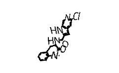 O=C(NC1Cc2ccccc2[N]C1=O)c1cc2cc(Cl)ncc2[nH]1